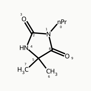 CCCN1C(=O)NC(C)(C)C1=O